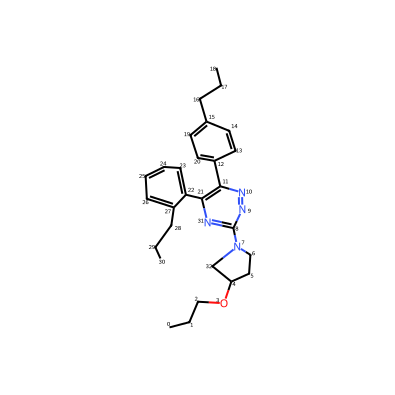 CCCOC1CCN(c2nnc(-c3ccc(CCC)cc3)c(-c3ccccc3CCC)n2)C1